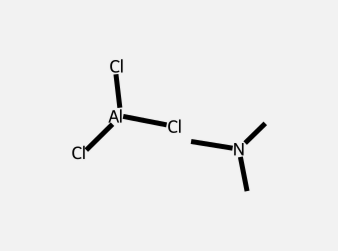 CN(C)C.[Cl][Al]([Cl])[Cl]